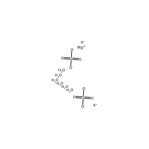 O.O.O.O.O.O.O=S(=O)([O-])[O-].O=S(=O)([O-])[O-].[K+].[K+].[Mg+2]